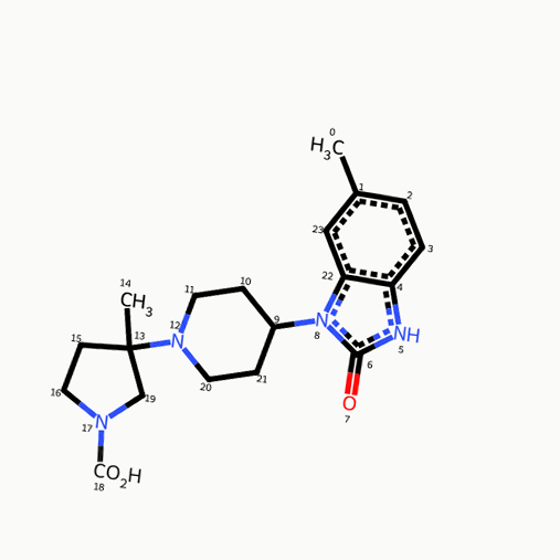 Cc1ccc2[nH]c(=O)n(C3CCN(C4(C)CCN(C(=O)O)C4)CC3)c2c1